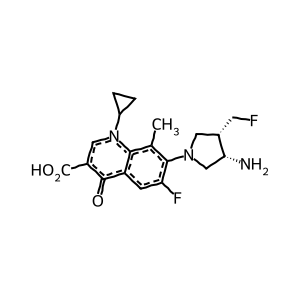 Cc1c(N2C[C@H](CF)[C@H](N)C2)c(F)cc2c(=O)c(C(=O)O)cn(C3CC3)c12